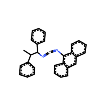 CC(c1ccccc1)C(N=C=Nc1c2ccccc2cc2ccccc12)c1ccccc1